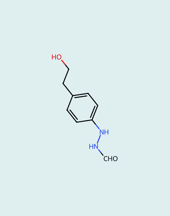 O=CNNc1ccc(CCO)cc1